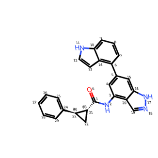 O=C(Nc1cc(-c2cccc3[nH]ccc23)cc2[nH]ncc12)[C@@H]1C[C@H]1c1ccccc1